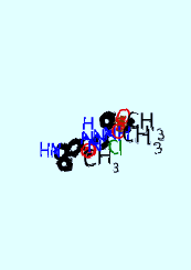 COC1=C(Nc2ncc(Cl)c(Nc3ccccc3S(=O)(=O)C(C)C)n2)C=C2CNCC3(CCCC3)C2C1